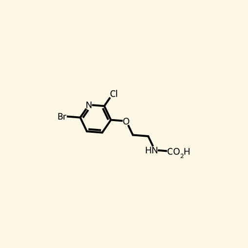 O=C(O)NCCOc1ccc(Br)nc1Cl